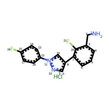 Cl.NCc1cccc(-c2cnn(-c3ccc(F)cc3)c2)c1F